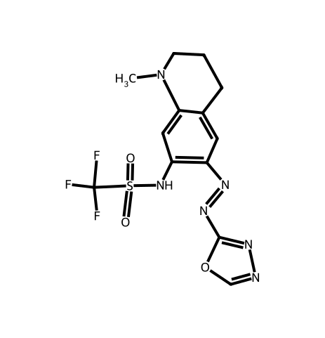 CN1CCCc2cc(N=Nc3nnco3)c(NS(=O)(=O)C(F)(F)F)cc21